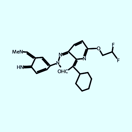 CN/C=C1/C=C(N(C)/N=C2/C=CC(OCC(F)F)=N/C2=C(/C=O)C2CCCCC2)C=CC1=N